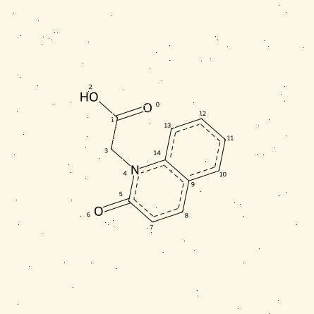 O=C(O)Cn1c(=O)ccc2ccccc21